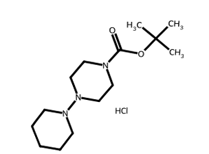 CC(C)(C)OC(=O)N1CCN(N2CCCCC2)CC1.Cl